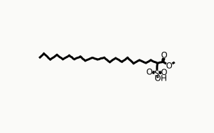 CCCCCCCCCCCCCCCCCCCCC(C(=O)OC)S(=O)(=O)O